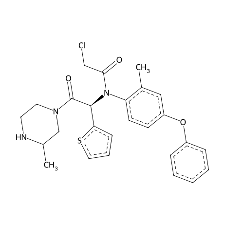 Cc1cc(Oc2ccccc2)ccc1N(C(=O)CCl)[C@H](C(=O)N1CCNC(C)C1)c1cccs1